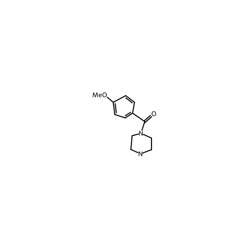 COc1ccc(C(=O)N2CC[N]CC2)cc1